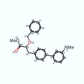 CNc1cccc(-c2ccc(CC(OCc3ccccc3)C(=O)OC)cc2)c1